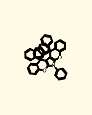 c1ccc(-n2c3c(c4c2Oc2ccccc2C4(c2ccccc2)c2ccccc2)C(c2ccccc2)(c2ccccc2)c2ccccc2O3)cc1